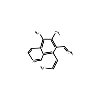 C=Cc1c(C)c(C)c2ccncc2c1/C=C\C